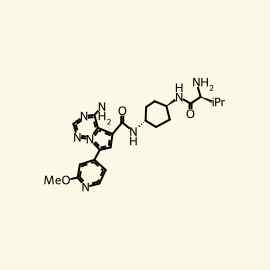 COc1cc(-c2cc(C(=O)N[C@H]3CC[C@H](NC(=O)[C@@H](N)C(C)C)CC3)c3c(N)ncnn23)ccn1